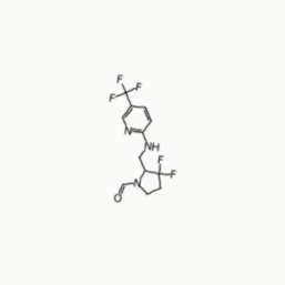 O=CN1CCC(F)(F)C1CNc1ccc(C(F)(F)F)cn1